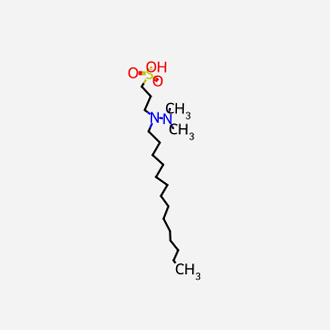 CCCCCCCCCCCCCCN(CCCS(=O)(=O)O)N(C)C